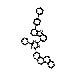 c1ccc(-c2ccc(-c3cccc4c3oc3cccc(-c5nc(-c6ccccc6)nc(-c6ccc7ccc8c9ccccc9ccc8c7c6)n5)c34)cc2)cc1